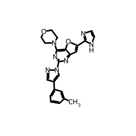 Cc1cccc(-c2cnn(-c3nc(N4CCOCC4)c4oc(-c5ncc[nH]5)cc4n3)c2)c1